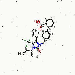 CCCc1c(C(F)(F)F)n(C(C)CC)c(=O)n1Cc1ccc(-c2ccccc2C(=O)O)cc1